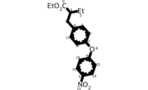 CCOC(=O)C(CC)Cc1ccc(Oc2ccc([N+](=O)[O-])cc2)cc1